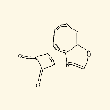 O=c1ccc1=O.c1ccc2ocnc2c1